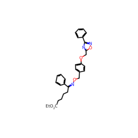 CCOC(=O)CCCC/C(=N/OCc1ccc(OCc2nc(-c3ccccc3)no2)cc1)c1ccccc1